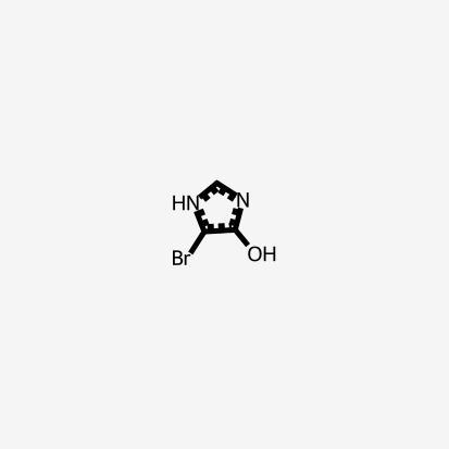 Oc1nc[nH]c1Br